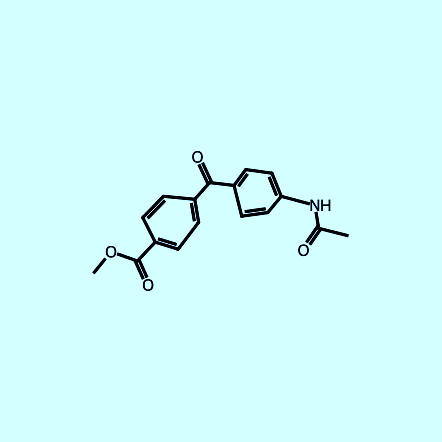 COC(=O)c1ccc(C(=O)c2ccc(NC(C)=O)cc2)cc1